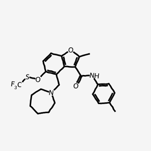 Cc1ccc(NC(=O)c2c(C)oc3ccc(OSC(F)(F)F)c(CN4CCCCCC4)c23)cc1